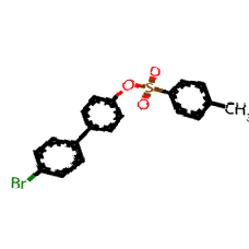 Cc1ccc(S(=O)(=O)Oc2ccc(-c3ccc(Br)cc3)cc2)cc1